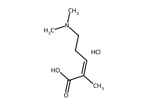 CC(=CCCN(C)C)C(=O)O.Cl